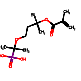 C=C(C)C(=O)OC(C)(CC)CCOC(C)(C)P(=O)(O)O